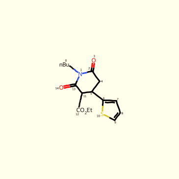 CCCCN1C(=O)CC(c2cccs2)C(C(=O)OCC)C1=O